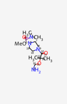 COP(=O)(N(C)C)N1CCN(C(=O)C(C)(C)OCN)CC1